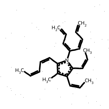 C=C/C=C\C(=C/C=C)n1c(/C=C\C=C/C)c(C)c(/C=C\C)c1/C=C\C